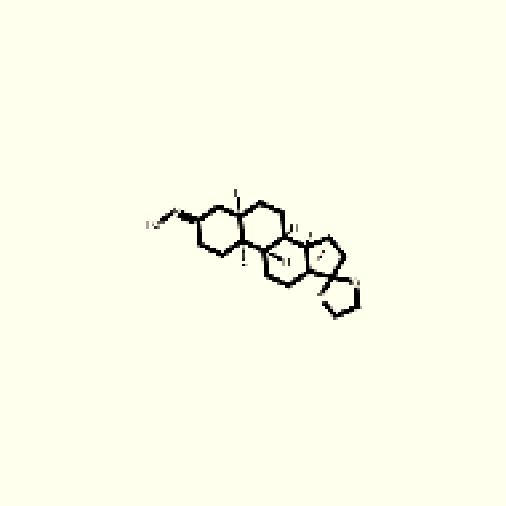 C[C@]12CC/C(=N\O)C[C@@H]1CC[C@@H]1[C@@H]2CC[C@@]2(C)[C@H]1CCC21OCCO1